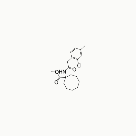 COC(=O)C1(NC(=O)Cc2ccc(C)cc2Cl)CCCCCCC1